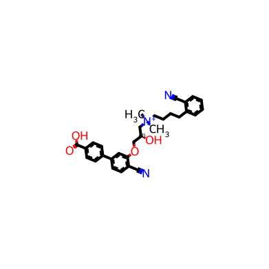 C[N+](C)(CCCCc1ccccc1C#N)C[C@@H](O)COc1cc(-c2ccc(C(=O)O)cc2)ccc1C#N